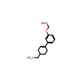 COCOc1cccc(C2=CCC(CC(=O)O)CC2)c1